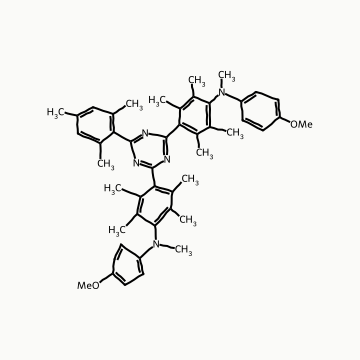 COc1ccc(N(C)c2c(C)c(C)c(-c3nc(-c4c(C)cc(C)cc4C)nc(-c4c(C)c(C)c(N(C)c5ccc(OC)cc5)c(C)c4C)n3)c(C)c2C)cc1